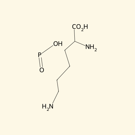 NCCCCC(N)C(=O)O.O=PO